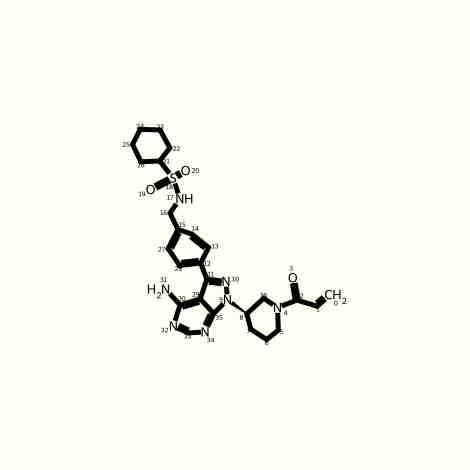 C=CC(=O)N1CCC[C@@H](n2nc(-c3ccc(CNS(=O)(=O)C4CCCCC4)cc3)c3c(N)ncnc32)C1